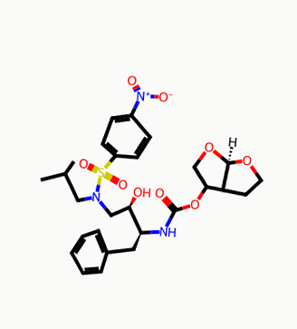 CC(C)CN(C[C@@H](O)[C@H](Cc1ccccc1)NC(=O)OC1CO[C@H]2OCCC12)S(=O)(=O)c1ccc([N+](=O)[O-])cc1